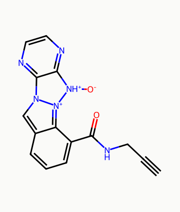 C#CCNC(=O)c1cccc2cn3[n+](c12)[NH+]([O-])c1nccnc1-3